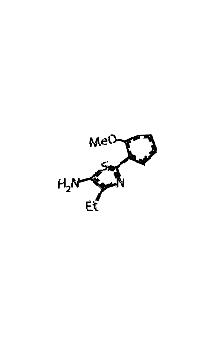 CCc1nc(-c2ccccc2OC)sc1N